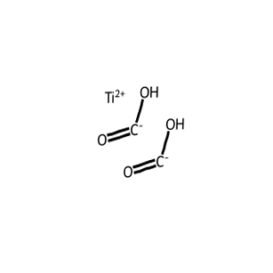 O=[C-]O.O=[C-]O.[Ti+2]